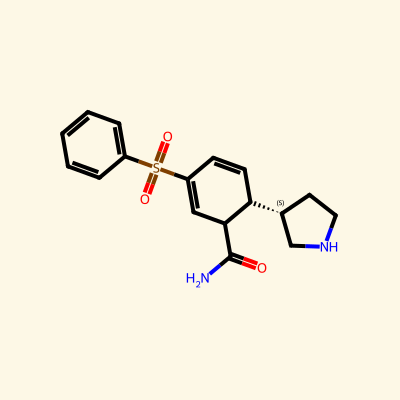 NC(=O)C1C=C(S(=O)(=O)c2ccccc2)C=CC1[C@@H]1CCNC1